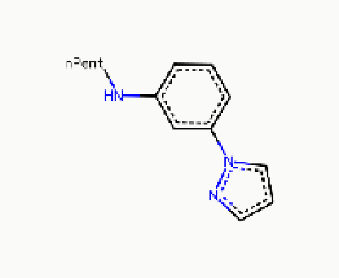 CCCCCNc1cccc(-n2cccn2)c1